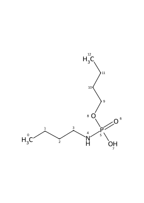 CCCCNP(=O)(O)OCCCC